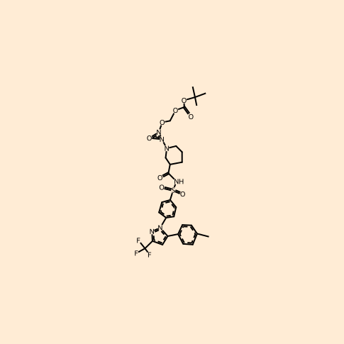 Cc1ccc(-c2cc(C(F)(F)F)nn2-c2ccc(S(=O)(=O)NC(=O)C3CCCN(n4on4OCOC(=O)OC(C)(C)C)C3)cc2)cc1